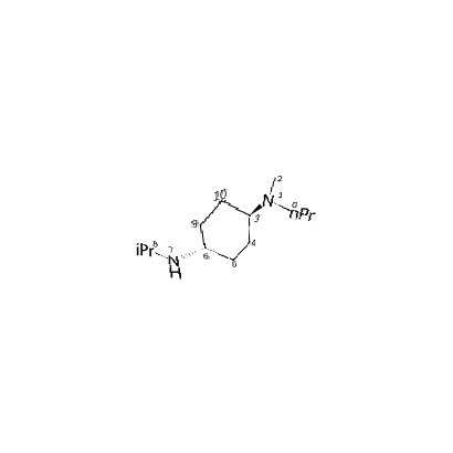 CCCN(C)[C@H]1CC[C@H](NC(C)C)CC1